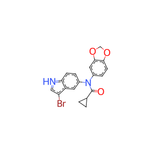 O=C(C1CC1)N(c1ccc2c(c1)OCO2)c1ccc2[nH]cc(Br)c2c1